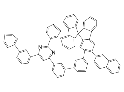 c1ccc(-c2cccc(-c3cc(-c4cccc(-c5cccc(-c6cc7c(cc6-c6ccc8ccccc8c6)-c6ccccc6C76c7ccccc7-c7ccccc76)c5)c4)nc(-c4ccccc4)n3)c2)cc1